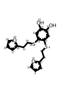 Oc1cc(SCCc2ccco2)c(SCCc2ccco2)cc1O